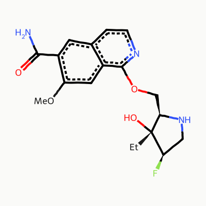 CC[C@]1(O)[C@H](F)CN[C@@H]1COc1nccc2cc(C(N)=O)c(OC)cc12